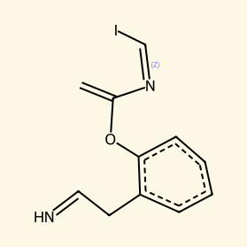 C=C(/N=C\I)Oc1ccccc1CC=N